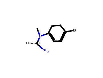 CCC1=CC=C(N(C)[C@H](N)CC)CC1